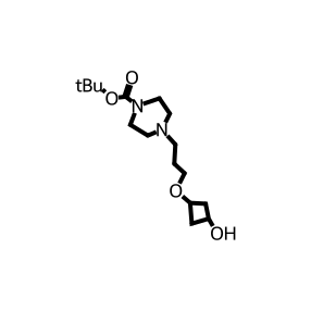 CC(C)(C)OC(=O)N1CCN(CCCOC2CC(O)C2)CC1